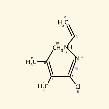 C=CN/N=C(/Cl)C(C)=C(C)C